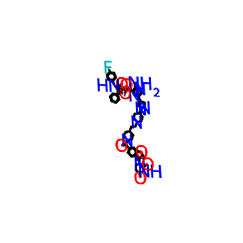 Nc1ncc(-c2cnn(C3CCN(CCC4CCN(C(=O)c5ccc6c(N7CCC(=O)NC7=O)coc6c5)CC4)CC3)c2)nc1C(=O)O[C@@H](C(=O)Nc1ccc(F)cc1)c1ccccc1